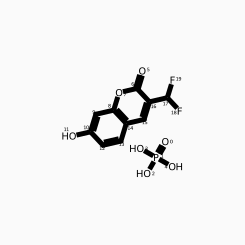 O=P(O)(O)O.O=c1oc2cc(O)ccc2cc1C(F)F